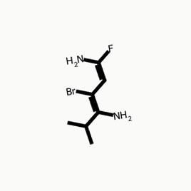 CC(C)/C(N)=C(Br)/C=C(\N)F